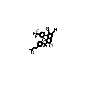 CC(=O)CCc1ccc(Oc2c(C(C)(C)C)c(Cl)cc3cc(C#N)c(C#N)c(-c4ccc(C(F)(F)F)cc4)c23)cc1